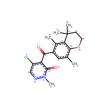 Cc1cc(C(=O)c2c(Cl)cnn(C)c2=O)c(C)c2c1SCCC2(C)C